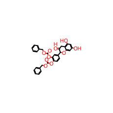 O=C(OCc1ccccc1)Oc1ccc(C2Oc3cc(O)cc(O)c3C[C@H]2O)cc1OC(=O)OCc1ccccc1